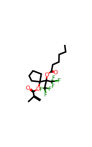 C=C(C)C(=O)OC1(C(OC(=O)CCCCC)(C(F)(F)F)C(F)(F)F)CCCC1